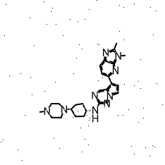 Cc1nc2ccc(-c3ccn4nc(N[C@H]5CC[C@H](N6CCN(C)CC6)CC5)ncc34)nc2n1C